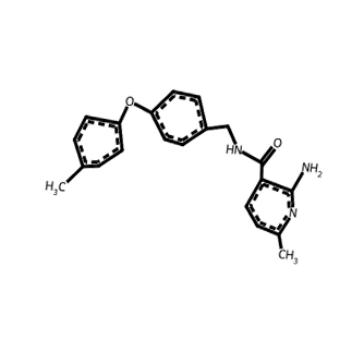 Cc1ccc(Oc2ccc(CNC(=O)c3ccc(C)nc3N)cc2)cc1